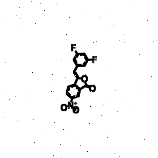 O=C1O/C(=C\c2cc(F)cc(F)c2)c2ccc([N+](=O)[O-])cc21